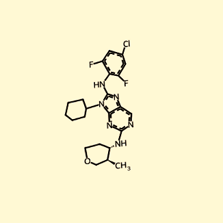 C[C@H]1COCC[C@@H]1Nc1ncc2nc(Nc3c(F)cc(Cl)cc3F)n(C3CCCCC3)c2n1